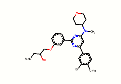 CCc1cc(-c2cc(N(C)C3CCOCC3)nc(-c3cccc(OCC(O)CNC)c3)n2)ccc1OC